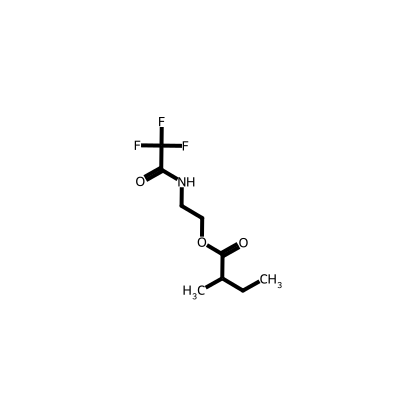 CCC(C)C(=O)OCCNC(=O)C(F)(F)F